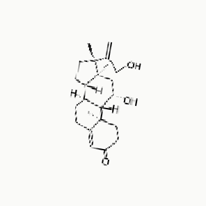 C=C(CO)[C@@]1(C)CC[C@H]2[C@@H]3CCC4=CC(=O)CC[C@]4(C)[C@H]3[C@@H](O)C[C@@]21C